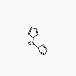 C1=C[CH]([Sn][CH]2C=CC=C2)C=C1